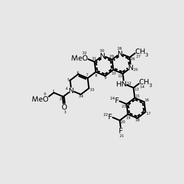 COCC(=O)N1CC=C(c2cc3c(NC(C)c4cccc(C(F)F)c4F)nc(C)nc3nc2OC)CC1